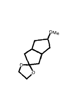 COC1CC2CC3(CC2C1)OCCO3